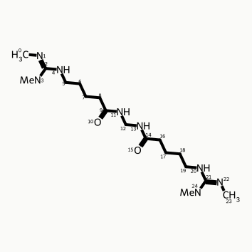 C/N=C(\NC)NCCCCC(=O)NCNC(=O)CCCCN/C(=N/C)NC